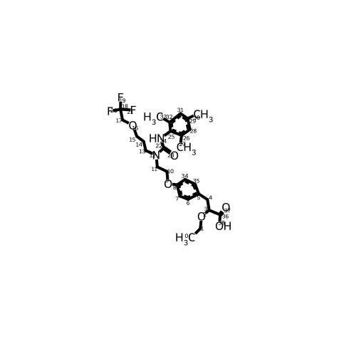 CCOC(Cc1ccc(OCCN(CCCOCC(F)(F)F)C(=O)Nc2c(C)cc(C)cc2C)cc1)C(=O)O